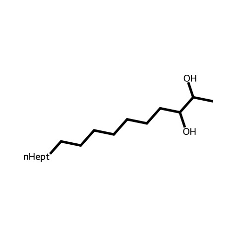 CCCCCCCCCCCCCCC(O)C(C)O